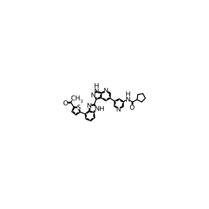 CC(=O)c1ccc(-c2cccc3[nH]c(-c4n[nH]c5ncc(-c6cncc(NC(=O)C7CCCC7)c6)cc45)nc23)s1